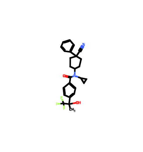 CC(O)(c1ccc(C(=O)N(C2CC2)C2CCC(C#N)(c3ccccc3)CC2)cc1)C(F)(F)F